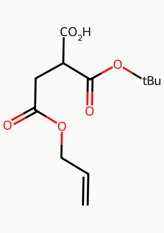 C=CCOC(=O)CC(C(=O)O)C(=O)OC(C)(C)C